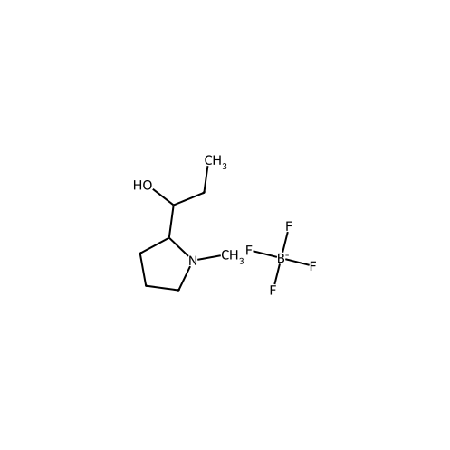 CCC(O)C1CCCN1C.F[B-](F)(F)F